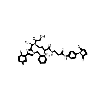 CC(C)(C)[C@H](c1nc(-c2cc(F)ccc2F)cn1Cc1ccccc1)N(CC[C@H](N)C(=O)NCCC(=O)Nc1ccc(N2C(=O)C=CC2=O)cc1)C(=O)CO